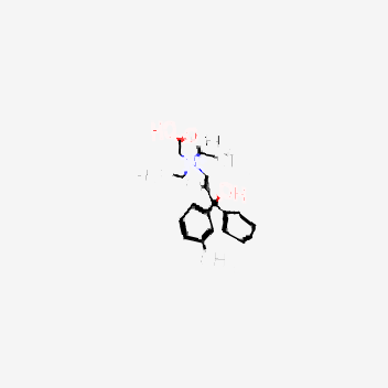 Cc1cccc(C(O)(CC[N+](CC(=O)O)(C(C)C)C(C)C)c2ccccc2)c1